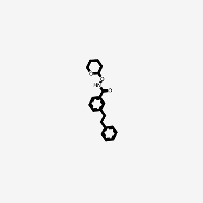 O=C(NOC1CCCCO1)c1cccc(CCc2ccccc2)c1